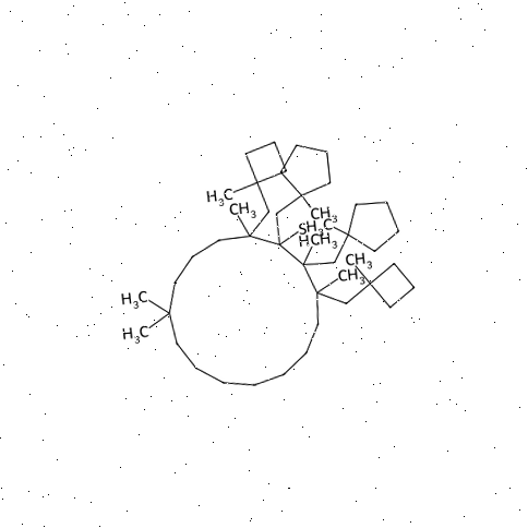 CC1(C)CCCCCCCC(C)(CC2(C)CCC2)C(C)(CC2(C)CCCC2)C(S)(CC2(C)CCCC2)C(C)(CC2(C)CCC2)CCC1